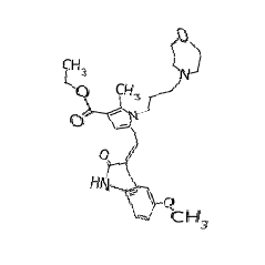 CCOC(=O)c1cc(C=C2C(=O)Nc3ccc(OC)cc32)n(CCCN2CCOCC2)c1C